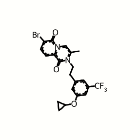 Cc1cn2c(=O)c(Br)ccc2c(=O)n1CCc1cc(OC2CC2)cc(C(F)(F)F)c1